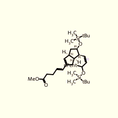 CCCCCC(/C=C\[C@H]1[C@H]2CC(C=CCCC(=O)OC)=C[C@H]2C[C@H]1O[Si](C)(C)C(C)(C)C)O[Si](C)(C)C(C)(C)C